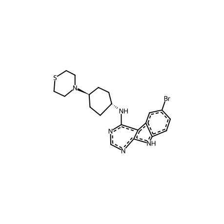 Brc1ccc2[nH]c3ncnc(N[C@H]4CC[C@H](N5CCSCC5)CC4)c3c2c1